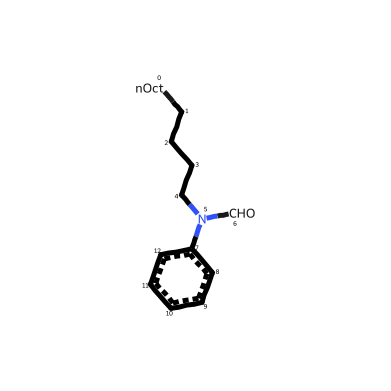 CCCCCCCCCCCCN(C=O)c1ccccc1